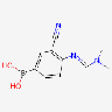 CN(C)C=Nc1ccc(B(O)O)cc1C#N